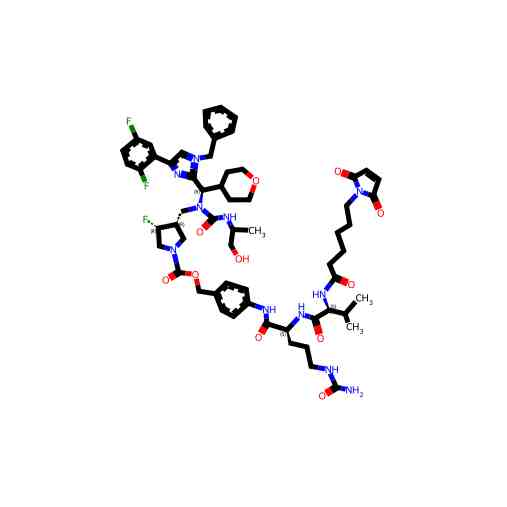 CC(CO)NC(=O)N(C[C@@H]1CN(C(=O)OCc2ccc(NC(=O)[C@H](CCCNC(N)=O)NC(=O)[C@@H](NC(=O)CCCCCN3C(=O)C=CC3=O)C(C)C)cc2)C[C@@H]1F)[C@@H](c1nc(-c2cc(F)ccc2F)cn1Cc1ccccc1)C1CCOCC1